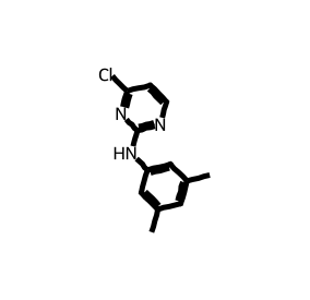 Cc1cc(C)cc(Nc2nccc(Cl)n2)c1